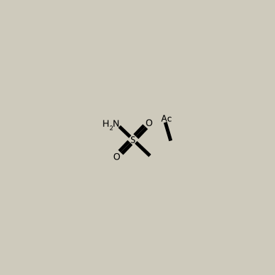 CC(C)=O.CS(N)(=O)=O